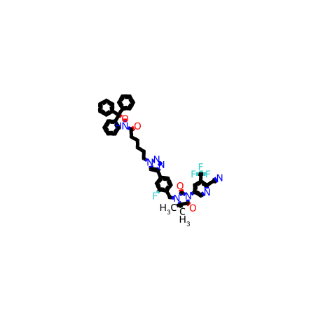 CC1(C)C(=O)N(c2cnc(C#N)c(C(F)(F)F)c2)C(=O)N1Cc1ccc(-c2cn(CCCCCC(=O)NOC(c3ccccc3)(c3ccccc3)c3ccccc3)nn2)cc1F